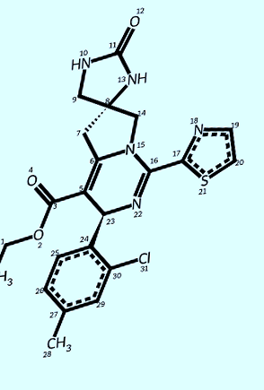 CCOC(=O)C1=C2C[C@@]3(CNC(=O)N3)CN2C(c2nccs2)=N[C@H]1c1ccc(C)cc1Cl